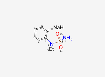 CCN(c1ccccc1)S(N)(=O)=O.[NaH]